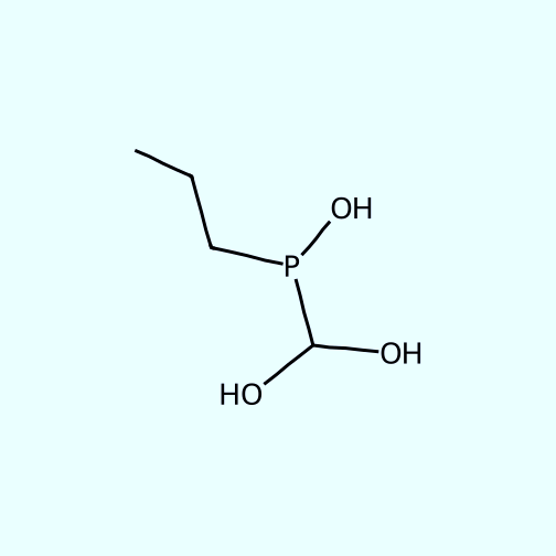 CCCP(O)C(O)O